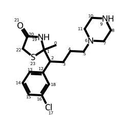 CC1(C(CCCN2CCNCC2)c2cccc(Cl)c2)NC(=O)CS1